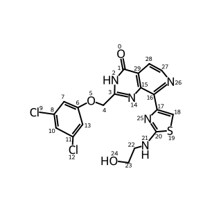 O=c1[nH]c(COc2cc(Cl)cc(Cl)c2)nc2c(-c3csc(NCCO)n3)nccc12